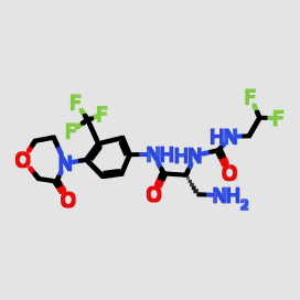 NC[C@@H](NC(=O)NCC(F)F)C(=O)Nc1ccc(N2CCOCC2=O)c(C(F)(F)F)c1